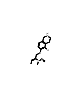 C=NN(C)/C(=C\C)COc1ccc2c(c1Cl)CCNC2